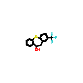 OC1Cc2cc(C(F)(F)F)ccc2Sc2ccccc21